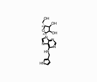 OC[C@H]1O[C@@H](n2cnc3c(NCc4cc[nH]c4)ncnc32)C(O)C1O